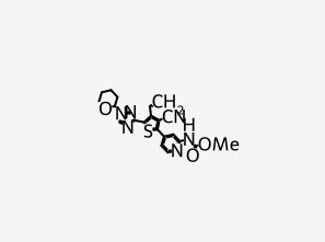 C=Cc1c(-c2ncn(C3CCCCO3)n2)sc(-c2ccnc(NC(=O)OC)c2)c1C#N